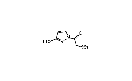 CC(C)(C)CC(=O)n1ccc(O)n1